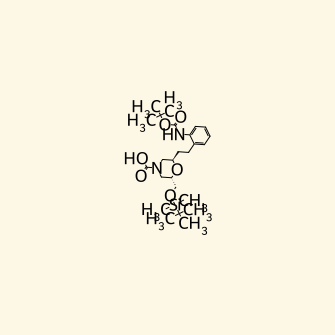 CC(C)(C)OC(=O)Nc1ccccc1CC[C@@H]1CN(C(=O)O)C[C@@H](CO[Si](C)(C)C(C)(C)C)O1